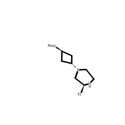 CC[C@H]1CN([C@H]2C[C@H](OC)C2)CCN1